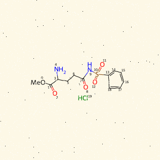 COC(=O)C(N)CCC(=O)NS(=O)(=O)c1ccccc1.Cl